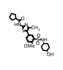 COc1ccc(-c2sc(NC(=O)C3CCCC3)nc2C)cc1S(=O)(=O)N[C@H]1CC[C@H](O)CC1